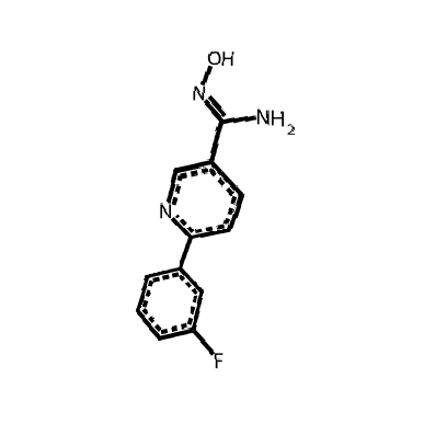 N/C(=N\O)c1ccc(-c2cccc(F)c2)nc1